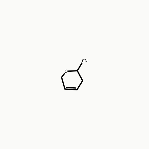 N#CC1CC=CCO1